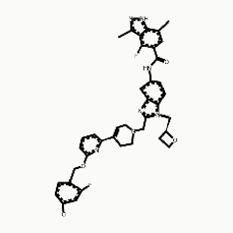 Cc1cc(C(=O)Nc2ccc3c(c2)nc(CN2CC=C(c4cccc(OCc5ccc(Cl)cc5F)n4)CC2)n3C[C@@H]2CCO2)c(F)c2c(C)n[nH]c12